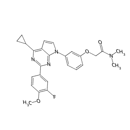 COc1ccc(-c2nc(C3CC3)c3ccn(-c4cccc(OCC(=O)N(C)C)c4)c3n2)cc1F